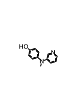 CN(c1ccc(O)cc1)c1cccnc1